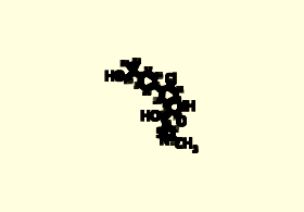 Cc1cc(C(O)=C2C(=O)Nc3cc(Cl)c(-c4ccc(C5(CO)CC5)cc4)cc32)sn1